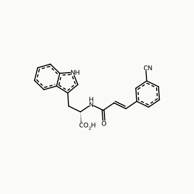 N#Cc1cccc(C=CC(=O)N[C@@H](Cc2c[nH]c3ccccc23)C(=O)O)c1